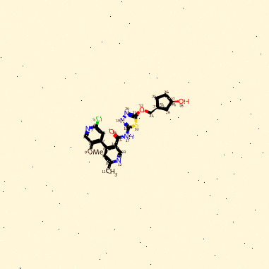 COc1cnc(Cl)cc1-c1cc(C)ncc1C(=O)Nc1nnc(OC[C@H]2CC[C@@H](O)C2)s1